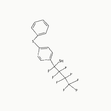 FC(F)(F)C(F)(F)C(F)(F)C(F)(S)c1ccc(Sc2ccccc2)cc1